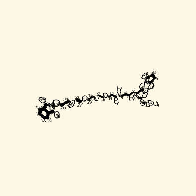 CC(C)(C)OC(=O)N[C@@H](CCCCNC(=O)CCOCCOCCOCCOCCON1C(=O)c2ccccc2C1=O)C(=O)ON1C(=O)CCC1=O